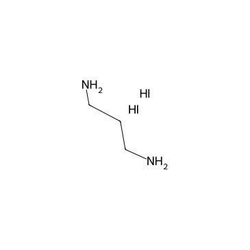 I.I.NCCCN